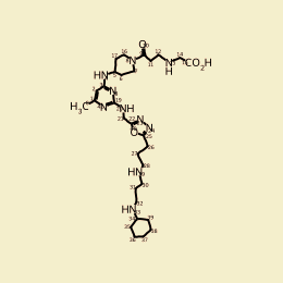 Cc1cc(NC2CCN(C(=O)CCNCC(=O)O)CC2)nc(NCc2nnc(CCCNCCCNC3CCCCC3)o2)n1